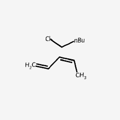 C=C/C=C\C.CCCCCCl